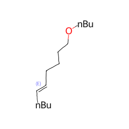 CCCC/C=C/CCCCOCCCC